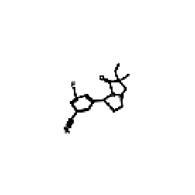 CCC1(C)CN2CCC(c3cc(F)cc(C#N)c3)N2C1=O